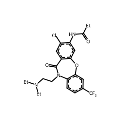 CCC(=O)Nc1cc2c(cc1Cl)C(=O)N(CCN(CC)CC)c1ccc(C(F)(F)F)cc1O2